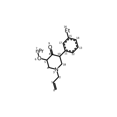 C=CCN1CC(OCCC)C(=O)C(c2cccc(CC)c2)C1